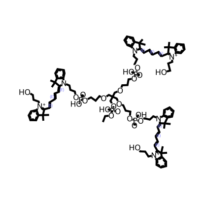 CCOP(=O)(O)OCC(COCCCOP(=O)(O)OCCCN1/C(=C/C=C/C=C/C2=[N+](CCCO)c3ccccc3C2(C)C)C(C)(C)c2ccccc21)(COCCCOP(=O)(O)OCCCN1/C(=C/C=C/C=C/C2=[N+](CCCO)c3ccccc3C2(C)C)C(C)(C)c2ccccc21)COCCCOP(=O)(O)OCCCN1/C(=C/C=C/C=C/C2=[N+](CCCO)c3ccccc3C2(C)C)C(C)(C)c2ccccc21